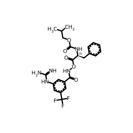 CC(C)COC(=O)N[C@@H](Cc1ccccc1)C(=O)ONC(=O)c1cc(NC(=N)N)cc(C(F)(F)F)c1